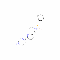 O=S(=O)(Cc1ccccc1)N1CCc2nc(N3C4CCC3CNC4)ccc2C1